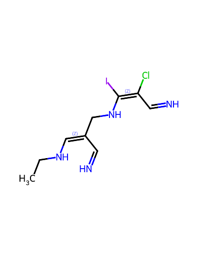 CCN/C=C(\C=N)CN/C(I)=C(/Cl)C=N